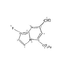 O=Cc1cc(C(=O)O)n2ncc(F)c2n1